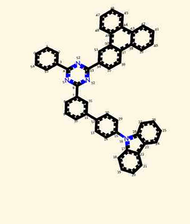 c1ccc(-c2nc(-c3cccc(-c4ccc(-n5c6ccccc6c6ccccc65)cc4)c3)nc(-c3ccc4c5ccccc5c5ccccc5c4c3)n2)cc1